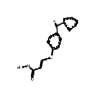 CCCOC(=O)C=COc1ccc(C(=O)c2ccccc2)cc1